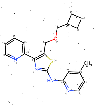 Cc1ccnc(Nc2nc(-c3ccccn3)c(COCC3CCC3)s2)c1